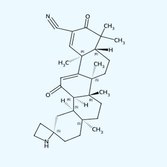 CC1(C)C(=O)C(C#N)=C[C@]2(C)C3=CC(=O)[C@@H]4[C@@H]5C[C@]6(CCN6)CC[C@]5(C)CC[C@@]4(C)[C@]3(C)CC[C@@H]12